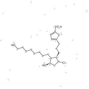 O=C(O)c1ccc(CCC[C@H]2C(Cl)C[C@@H](O)C2CCCCCCCCO)s1